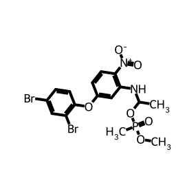 COP(C)(=O)OC(C)Nc1cc(Oc2ccc(Br)cc2Br)ccc1[N+](=O)[O-]